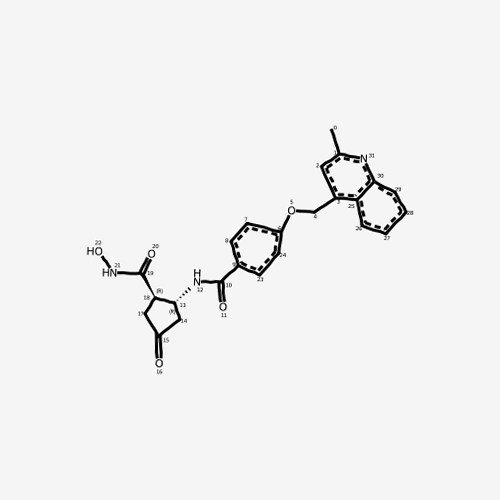 Cc1cc(COc2ccc(C(=O)N[C@@H]3CC(=O)C[C@H]3C(=O)NO)cc2)c2ccccc2n1